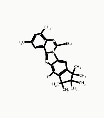 Cc1cc(C)c2nc(C(C)(C)C)n3c4cc5c(c(F)c4nc3c2c1)C(C)(C)C(C)(C)C5(C)C